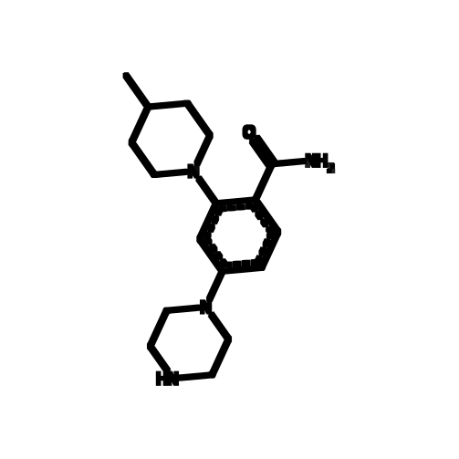 CC1CCN(c2cc(N3CCNCC3)ccc2C(N)=O)CC1